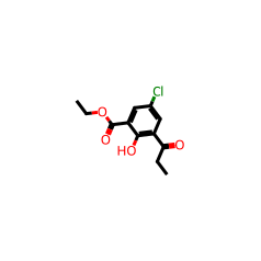 CCOC(=O)c1cc(Cl)cc(C(=O)CC)c1O